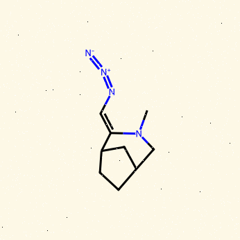 CN1CC2CCC(C2)/C1=C/N=[N+]=[N-]